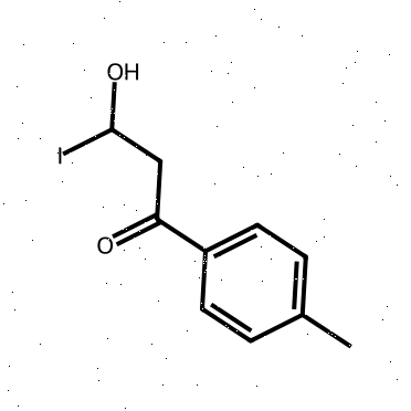 Cc1ccc(C(=O)CC(O)I)cc1